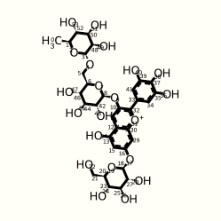 C[C@@H]1O[C@@H](OC[C@H]2O[C@@H](Oc3cc4c(O)cc(O[C@@H]5O[C@H](CO)[C@@H](O)[C@H](O)[C@H]5O)cc4[o+]c3-c3cc(O)c(O)c(O)c3)[C@H](O)[C@@H](O)[C@@H]2O)[C@H](O)[C@H](O)[C@H]1O